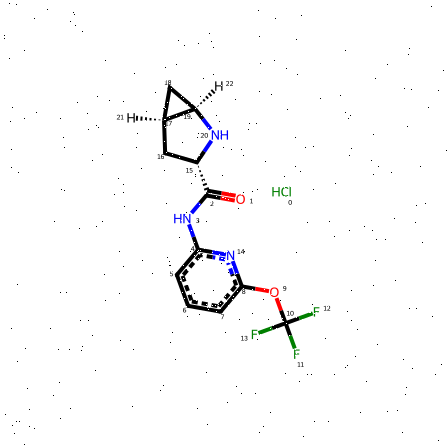 Cl.O=C(Nc1cccc(OC(F)(F)F)n1)[C@@H]1C[C@H]2C[C@H]2N1